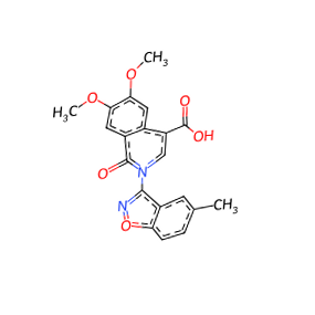 COc1cc2c(C(=O)O)cn(-c3noc4ccc(C)cc34)c(=O)c2cc1OC